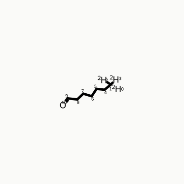 [2H]C([2H])([2H])CCCCCC=O